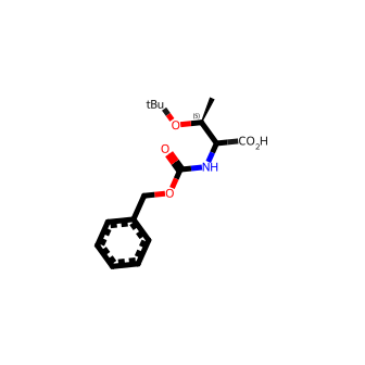 C[C@H](OC(C)(C)C)C(NC(=O)OCc1ccccc1)C(=O)O